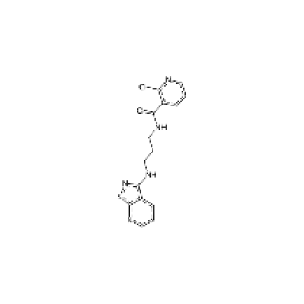 O=C(NCCCNc1nsc2ncccc12)c1cccnc1Cl